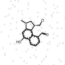 CN1C[C@@H](CCl)c2c1cc(O)c1cccc(C=O)c21